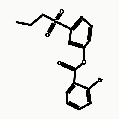 CCCS(=O)(=O)c1cccc(OC(=O)c2ccccc2Br)c1